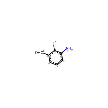 Nc1cccc(C=O)c1I